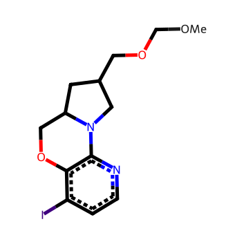 COCOCC1CC2COc3c(I)ccnc3N2C1